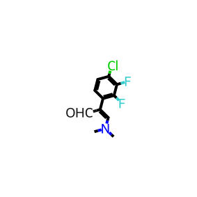 CN(C)C=C(C=O)c1ccc(Cl)c(F)c1F